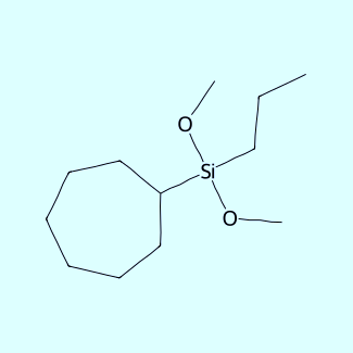 CCC[Si](OC)(OC)C1CCCCCC1